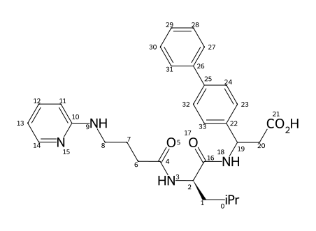 CC(C)C[C@@H](NC(=O)CCCNc1ccccn1)C(=O)NC(CC(=O)O)c1ccc(-c2ccccc2)cc1